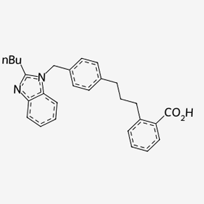 CCCCc1nc2ccccc2n1Cc1ccc(CCCc2ccccc2C(=O)O)cc1